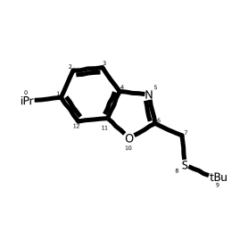 CC(C)c1ccc2nc(CSC(C)(C)C)oc2c1